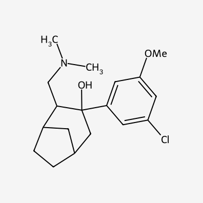 COc1cc(Cl)cc(C2(O)CC3CCC(C3)C2CN(C)C)c1